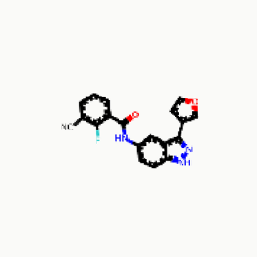 N#Cc1cccc(C(=O)Nc2ccc3[nH]nc(-c4ccoc4)c3c2)c1F